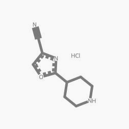 Cl.N#Cc1coc(C2CCNCC2)n1